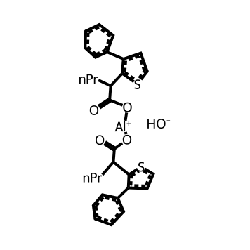 CCCC(C(=O)[O][Al+][O]C(=O)C(CCC)c1sccc1-c1ccccc1)c1sccc1-c1ccccc1.[OH-]